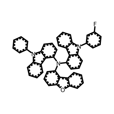 Fc1cccc(-n2c3ccccc3c3c(N(c4cccc5oc6ccccc6c45)c4cccc5c4c4ccccc4n5-c4ccccc4)cccc32)c1